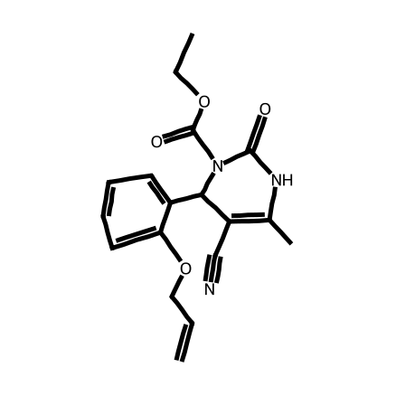 C=CCOc1ccccc1C1C(C#N)=C(C)NC(=O)N1C(=O)OCC